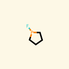 FP1CCCC1